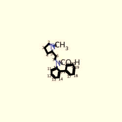 CN1CCCC1CCN(C(=O)O)c1ccccc1-c1ccccc1